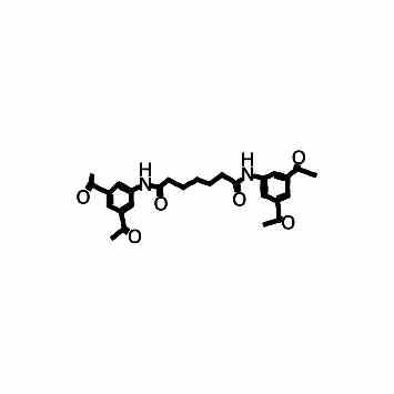 CC(=O)c1cc(NC(=O)CCCCCC(=O)Nc2cc(C(C)=O)cc(C(C)=O)c2)cc(C(C)=O)c1